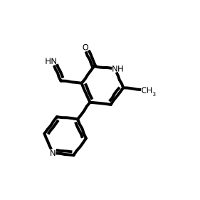 Cc1cc(-c2ccncc2)c(C=N)c(=O)[nH]1